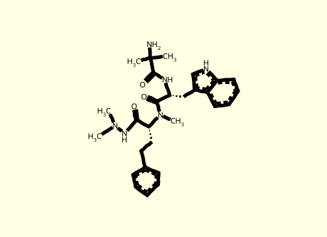 CN(C)NC(=O)[C@@H](CCc1ccccc1)N(C)C(=O)[C@@H](Cc1c[nH]c2ccccc12)NC(=O)C(C)(C)N